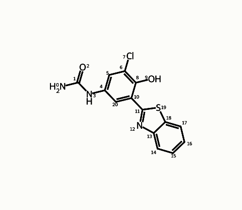 NC(=O)Nc1cc(Cl)c(O)c(-c2nc3ccccc3s2)c1